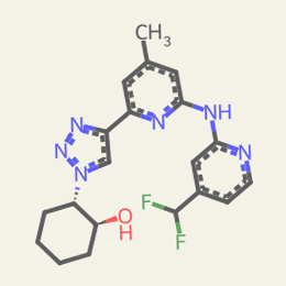 Cc1cc(Nc2cc(C(F)F)ccn2)nc(-c2cn([C@H]3CCCC[C@@H]3O)nn2)c1